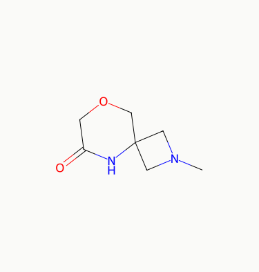 CN1CC2(COCC(=O)N2)C1